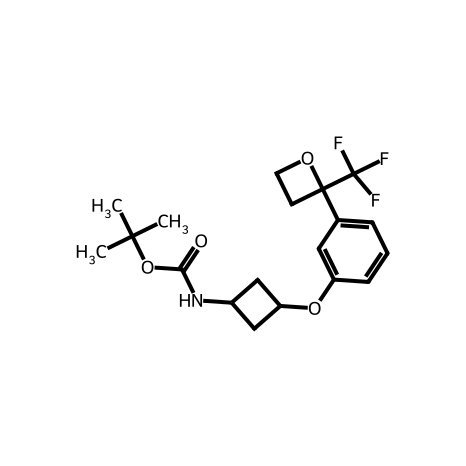 CC(C)(C)OC(=O)NC1CC(Oc2cccc(C3(C(F)(F)F)CCO3)c2)C1